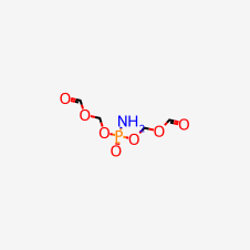 NP(=O)(OCOC=O)OCOC=O